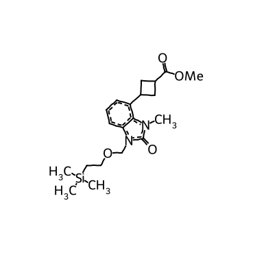 COC(=O)C1CC(c2cccc3c2n(C)c(=O)n3COCC[Si](C)(C)C)C1